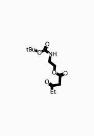 CCC(=O)CC(=O)OCCNC(=O)OC(C)(C)C